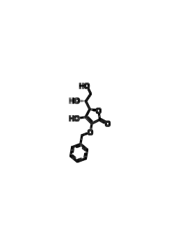 O=C1O[C@H]([C@H](O)CO)C(O)=C1OCc1ccccc1